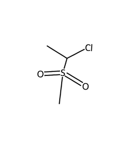 CC(Cl)S(C)(=O)=O